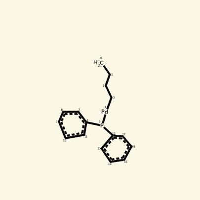 CCC[CH2][Pd][P](c1ccccc1)c1ccccc1